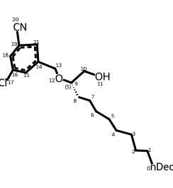 CCCCCCCCCCCCCCCCCC[C@@H](CO)OCc1cc(Cl)cc(C#N)c1